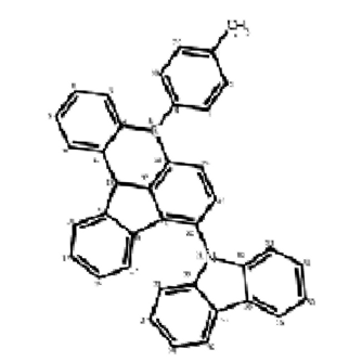 Cc1ccc(B2c3ccccc3C3c4ccccc4-c4c(-n5c6ccccc6c6ccccc65)ccc2c43)cc1